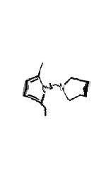 Cc1ccc(C)n1N1CCCC1